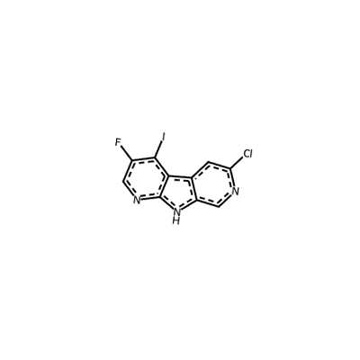 Fc1cnc2[nH]c3cnc(Cl)cc3c2c1I